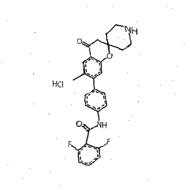 Cc1cc2c(cc1-c1ccc(NC(=O)c3c(F)cccc3F)cc1)OC1(CCNCC1)CC2=O.Cl